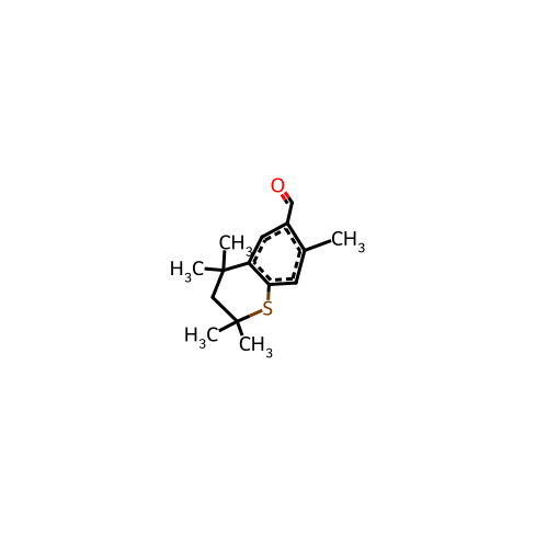 Cc1cc2c(cc1C=O)C(C)(C)CC(C)(C)S2